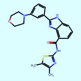 Cc1nc(NC(=O)c2cccc3[nH]c(-c4cccc(N5CCOCC5)c4)nc23)sc1C